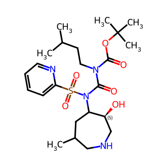 CC(C)CCN(C(=O)OC(C)(C)C)C(=O)N(C1CC(C)CNC[C@@H]1O)S(=O)(=O)c1ccccn1